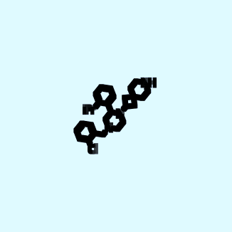 CC(C)c1ccccc1C1CN(Cc2ccccc2Cl)CCN1C1CC2(CCNCC2)C1